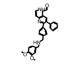 COc1ccc(CNCc2ccc(-c3nc4c(cc3-c3ccccc3)C(C=O)NC=C4)cc2)cc1OC